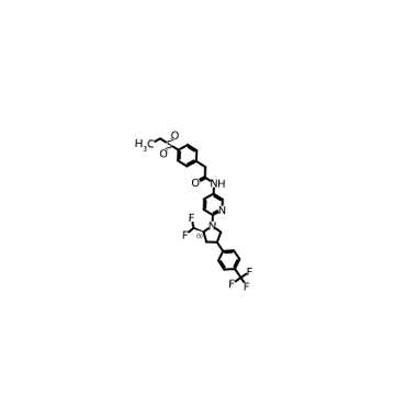 CCS(=O)(=O)c1ccc(CC(=O)Nc2ccc(N3CC(c4ccc(C(F)(F)F)cc4)C[C@H]3C(F)F)nc2)cc1